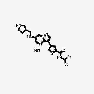 CCC(CC)NC(=O)c1cc(-c2cnn3cc(NCC4CCNC4)cnc23)cs1.Cl